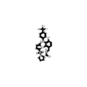 O=C(NCc1ccc(F)c(Oc2ccc(C(F)(F)F)cc2)c1F)[C@@H]1CCCN1S(=O)(=O)c1ccc(Cl)s1